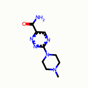 CN1CCN(c2ncc(C(N)=O)nn2)CC1